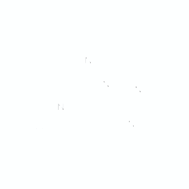 O=CN1CCc2ncn(-c3cnccn3)c2C1